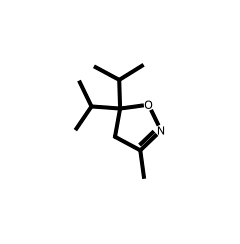 CC1=NOC(C(C)C)(C(C)C)C1